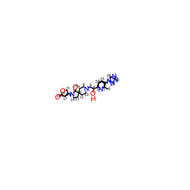 Cc1nc(C(O)CN2CCC3(CC2)CCN(C2=CC(=O)OC2)C3=O)ccc1-n1cnnn1